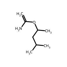 C=C(N)OC(C)CC(C)C